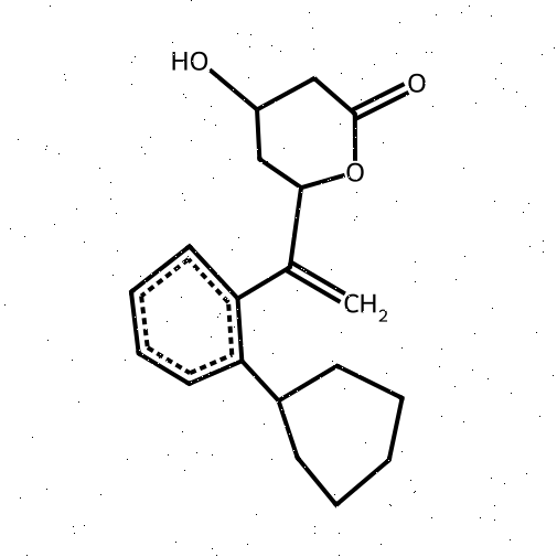 C=C(c1ccccc1C1CCCCC1)C1CC(O)CC(=O)O1